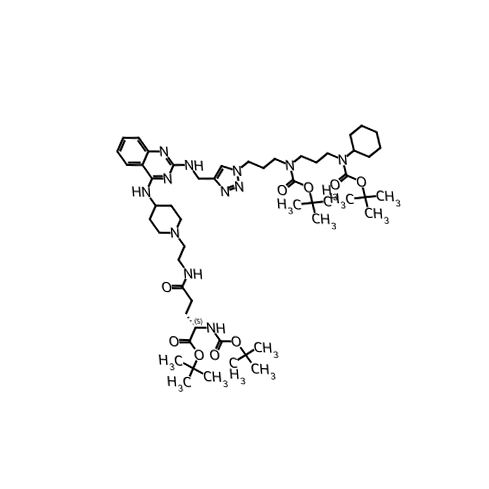 CC(C)(C)OC(=O)N[C@@H](CCC(=O)NCCN1CCC(Nc2nc(NCc3cn(CCCN(CCCN(C(=O)OC(C)(C)C)C4CCCCC4)C(=O)OC(C)(C)C)nn3)nc3ccccc23)CC1)C(=O)OC(C)(C)C